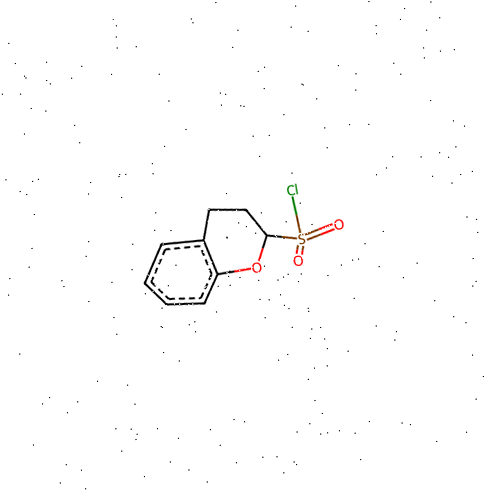 O=S(=O)(Cl)C1CCc2ccccc2O1